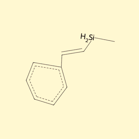 C[SiH2]C=Cc1ccccc1